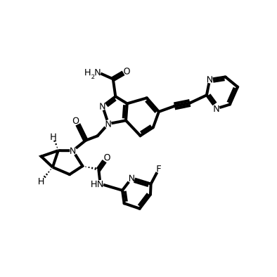 NC(=O)c1nn(CC(=O)N2[C@@H]3C[C@@H]3C[C@H]2C(=O)Nc2cccc(F)n2)c2ccc(C#Cc3ncccn3)cc12